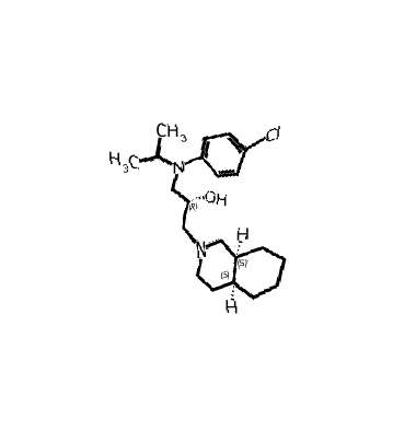 CC(C)N(C[C@H](O)CN1CC[C@@H]2CCCC[C@@H]2C1)c1ccc(Cl)cc1